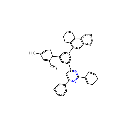 CC1=CCC(c2cc(-c3cc(-c4ccccc4)nc(C4=CCCC=C4)n3)cc(-c3cc4ccccc4c4c3CCC=C4)c2)C(C)=C1